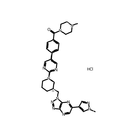 CN1CCN(C(=O)c2ccc(-c3cnc(N4CCC[C@H](Cn5nnc6ncc(-c7cnn(C)c7)nc65)C4)nc3)cc2)CC1.Cl